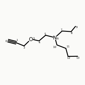 C#CCOCCN(CCC)CCCC